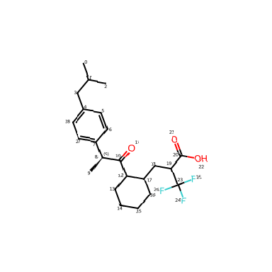 CC(C)Cc1ccc([C@H](C)C(=O)C2CCCCC2CC(C(=O)O)C(F)(F)F)cc1